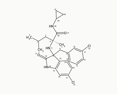 CC(C)C[C@](C)(NC1(Cc2cccc(Cl)c2)C(=O)Nc2cc(Cl)ccc21)C(=O)NC1CC1